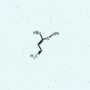 C=C/C=C(/CCCC)SCCC